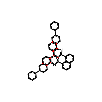 c1ccc(-c2ccc(-c3nc(-c4ccccc4)nc(-c4cccc5cccc(-c6nc(-c7ccccc7)nc(-c7ccc(-c8ccccc8)cc7)n6)c45)n3)cc2)cc1